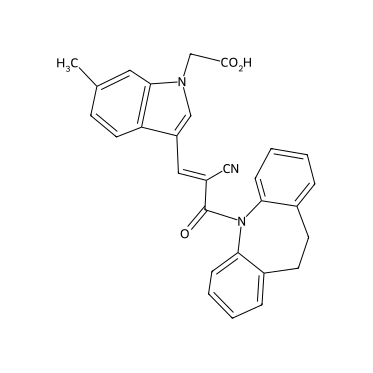 Cc1ccc2c(/C=C(\C#N)C(=O)N3c4ccccc4CCc4ccccc43)cn(CC(=O)O)c2c1